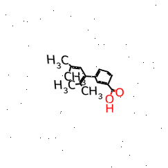 CC(C)=CC(=C(C)C)c1cccc(C(=O)O)c1